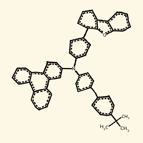 CC(C)(C)c1ccc(-c2ccc(N(c3ccc(-c4cccc5c4oc4ccccc45)cc3)c3ccc4c5ccccc5c5ccccc5c4c3)cc2)cc1